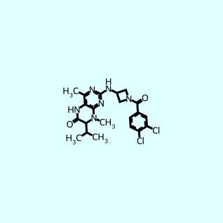 Cc1nc(NC2CN(C(=O)c3ccc(Cl)c(Cl)c3)C2)nc2c1NC(=O)C(C(C)C)N2C